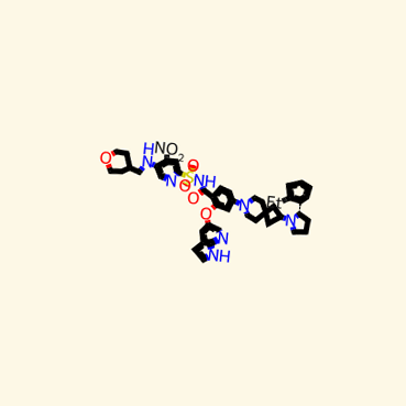 CCc1ccccc1[C@@H]1CCCN1C1CC2(CCN(c3ccc(C(=O)NS(=O)(=O)c4cc([N+](=O)[O-])c(NCC5CCOCC5)cn4)c(Oc4cnc5[nH]ccc5c4)c3)CC2)C1